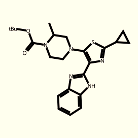 CC1CN(c2sc(C3CC3)nc2-c2nc3ccccc3[nH]2)CCN1C(=O)OC(C)(C)C